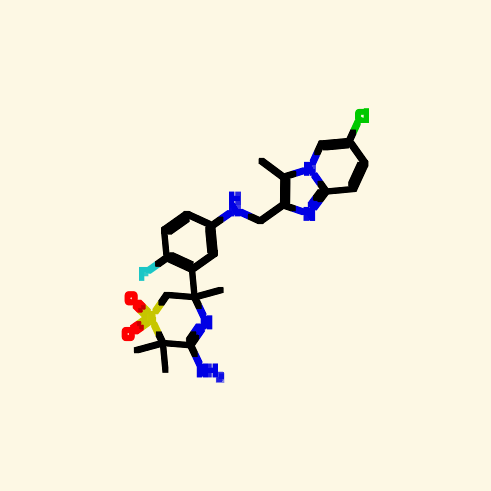 Cc1c(CNc2ccc(F)c(C3(C)CS(=O)(=O)C(C)(C)C(N)=N3)c2)nc2ccc(Cl)cn12